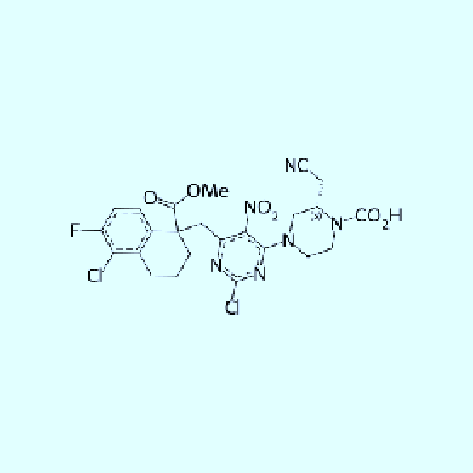 COC(=O)C1(Cc2nc(Cl)nc(N3CCN(C(=O)O)[C@@H](CC#N)C3)c2[N+](=O)[O-])CCCc2c1ccc(F)c2Cl